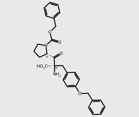 N[C@@](Cc1ccc(OCc2ccccc2)cc1)(C(=O)O)C(=O)[C@@H]1CCCN1C(=O)OCc1ccccc1